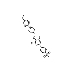 CCc1cnc(N2CCC(COc3c(F)cc(-c4ccc(S(C)(=O)=O)nc4)cc3F)CC2)nc1